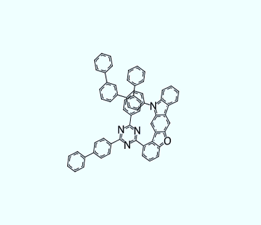 c1ccc(-c2ccc(-c3nc(-c4ccc(-c5ccccc5)cc4)nc(-c4cccc5oc6cc7c8ccccc8n(-c8ccc(-c9cccc(-c%10ccccc%10)c9)cc8)c7cc6c45)n3)cc2)cc1